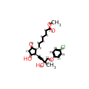 COC(=O)CCCCCC[C@H]1C(=O)C[C@H](O)[C@@H]1C#CC(C)(O)COc1ccc(Cl)cc1